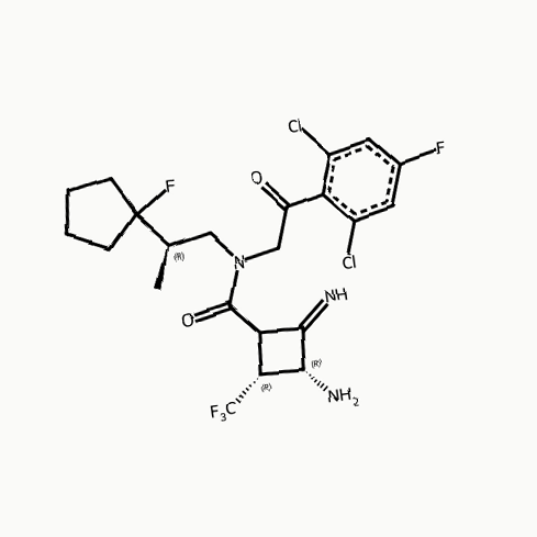 C[C@H](CN(CC(=O)c1c(Cl)cc(F)cc1Cl)C(=O)C1C(=N)[C@H](N)[C@@H]1C(F)(F)F)C1(F)CCCC1